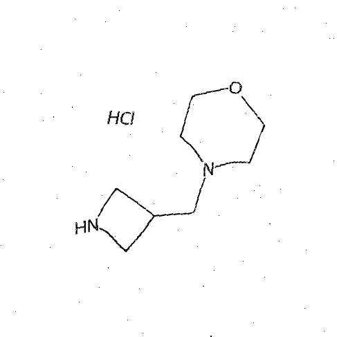 C1CN(CC2CNC2)CCO1.Cl